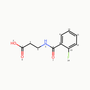 O=C(O)CCNC(=O)c1c[c]ccc1F